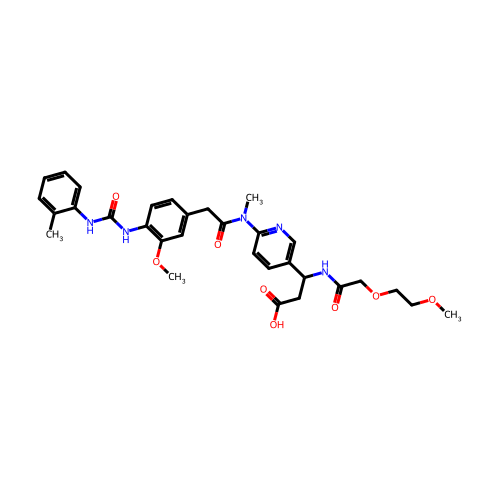 COCCOCC(=O)NC(CC(=O)O)c1ccc(N(C)C(=O)Cc2ccc(NC(=O)Nc3ccccc3C)c(OC)c2)nc1